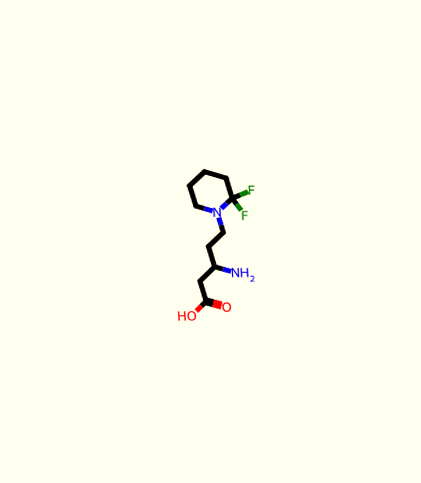 NC(CCN1CCCCC1(F)F)CC(=O)O